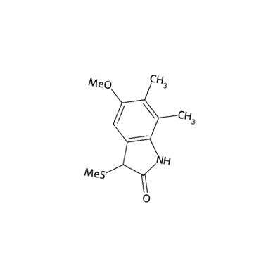 COc1cc2c(c(C)c1C)NC(=O)C2SC